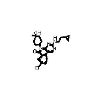 CC1(O)CCC(n2c(=O)c3cc(Cl)ccc3c3cnc(NCCC4CC4)nc32)CC1